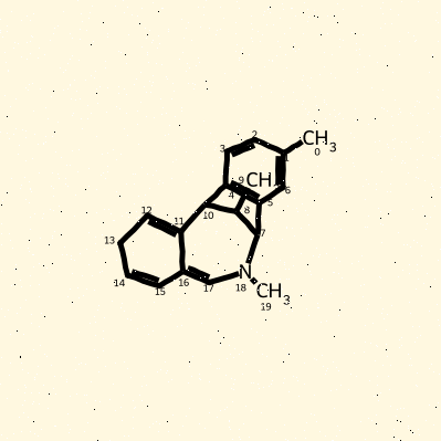 Cc1ccc2c(c1)C1C(C)C2C2=CCC=CC2=CN1C